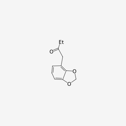 CCC(=O)Cc1cccc2c1OCO2